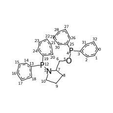 c1ccc(P(OCC2CCCN2P(c2ccccc2)c2ccccc2)c2ccccc2)cc1